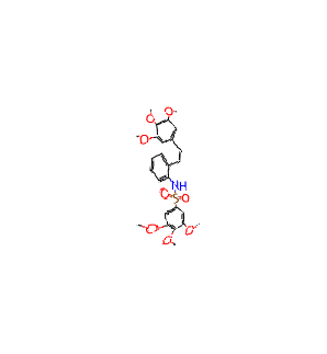 COc1cc(/C=C\c2ccccc2NS(=O)(=O)c2cc(OC)c(OC)c(OC)c2)cc(OC)c1OC